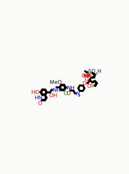 COc1cc(NC(=O)CCN(C)[C@H]2CC[C@H](OC(=O)C(OS(=O)(=O)C(C)S(=O)(=O)O)(c3cccs3)c3cccs3)CC2)c(Cl)cc1CNC[C@H](O)c1ccc(O)c2[nH]c(=O)ccc12